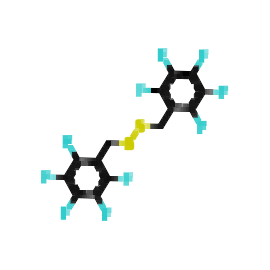 Fc1c(F)c(F)c(CSSCc2c(F)c(F)c(F)c(F)c2F)c(F)c1F